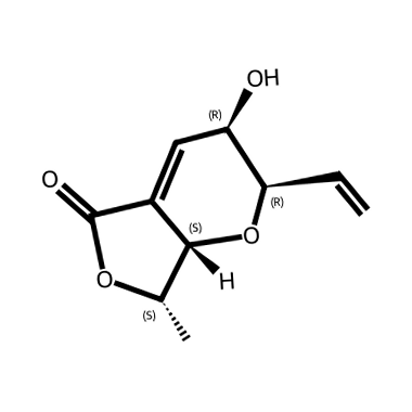 C=C[C@H]1O[C@H]2C(=C[C@H]1O)C(=O)O[C@H]2C